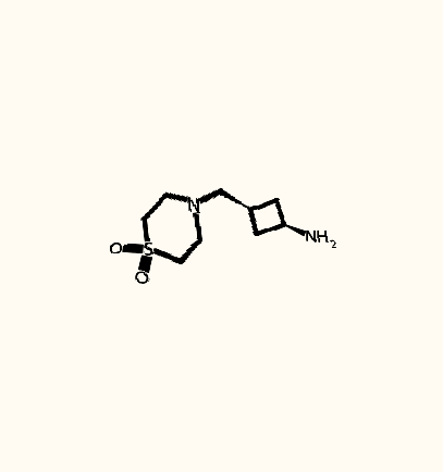 N[C@H]1C[C@@H](CN2CCS(=O)(=O)CC2)C1